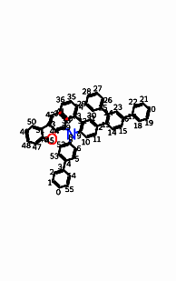 c1ccc(-c2ccc(N(c3ccc(-c4ccc(-c5ccccc5)cc4-c4ccccc4)cc3-c3ccccc3)c3cccc4c3oc3ccccc34)cc2)cc1